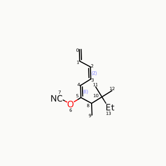 C=C/C=C\C=C(\OC#N)C(C)C(C)(C)CC